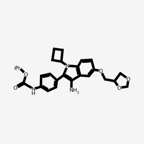 CC(C)OC(=O)Nc1ccc(-c2c(N)c3cc(OCC4COCO4)ccc3n2C2CCC2)cc1